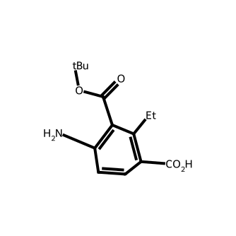 CCc1c(C(=O)O)ccc(N)c1C(=O)OC(C)(C)C